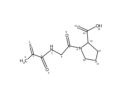 CC(=S)C(=O)NCC(=O)N1CSCC1C(=O)O